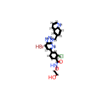 Br.O=C(NOCCO)c1ccc(-c2ccc3nnn(Cc4ccc5ncccc5c4)c3n2)cc1Cl